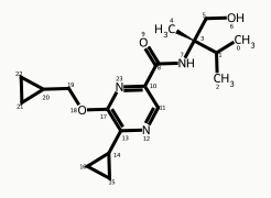 CC(C)[C@@](C)(CO)NC(=O)c1cnc(C2CC2)c(OCC2CC2)n1